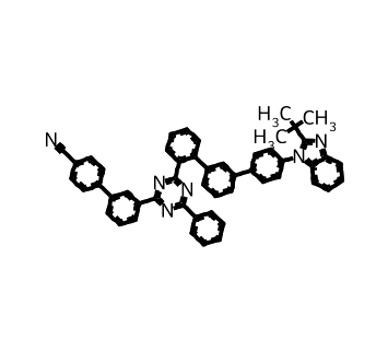 CC(C)(C)c1nc2ccccc2n1-c1ccc(-c2cccc(-c3ccccc3-c3nc(-c4ccccc4)nc(-c4cccc(-c5ccc(C#N)cc5)c4)n3)c2)cc1